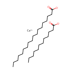 CCCCCCCCCCCC(=O)[O-].CCCCCCCCCCCCCCCCCC(=O)[O-].[Ca+2]